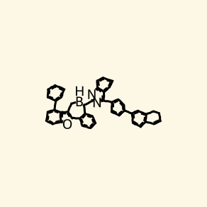 B1Cc2c(oc3cccc(-c4ccccc4)c23)-c2ccccc2C1c1nc(-c2ccc(-c3ccc4c(c3)CCC=C4)cc2)c2ccccc2n1